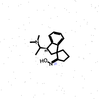 CC([C@@H]1CC2(CCC/C2=N/O)c2ccccc21)N(C)C